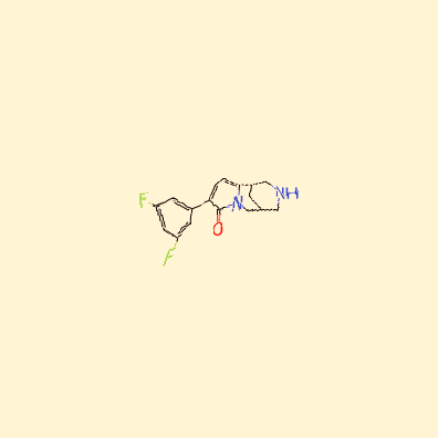 O=c1c(-c2cc(F)cc(F)c2)ccc2n1CC1CNCC2C1